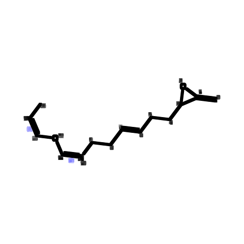 C=C1OC1CCC=CCC/N=C\O/C=C\C